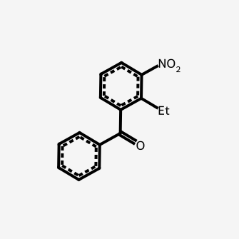 CCc1c(C(=O)c2ccccc2)cccc1[N+](=O)[O-]